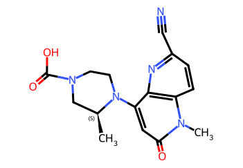 C[C@H]1CN(C(=O)O)CCN1c1cc(=O)n(C)c2ccc(C#N)nc12